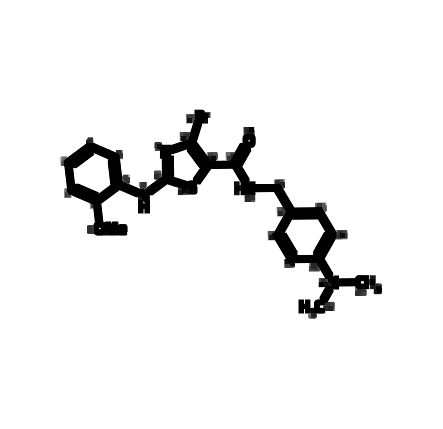 COc1ccccc1Nc1nc(Br)c(C(=O)NCc2ccc(N(C)C)cc2)s1